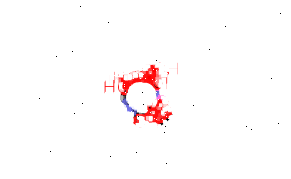 CCCC1(O)C(O)C(C)C/C=C/C=C/C(CC(C)O)CCC2OC3(CCC(C)C(C(C)C(C)O)O3)C(C)C(OC(=O)/C=C/C(C)C(O)C(C)C(O)C(OC3CCC(O)C(C)O3)C(O)C(O)C1O)C2C